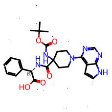 CC(C)(C)OC(=O)NC1(C(=O)N[C@H](C(=O)O)c2ccccc2)CCN(c2ncnc3[nH]ccc23)CC1